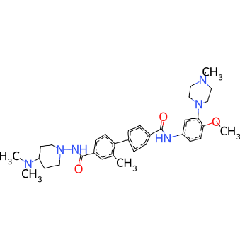 COc1ccc(NC(=O)c2ccc(-c3ccc(C(=O)NN4CCC(N(C)C)CC4)cc3C)cc2)cc1N1CCN(C)CC1